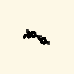 CCN1Cc2cc(NCc3ccc(Cl)cc3)ccc2C1=O